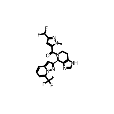 Cn1nc(C(F)F)cc1C(=O)N1CCc2[nH]cnc2[C@H]1c1cc2cccc(C(F)(F)F)n2n1